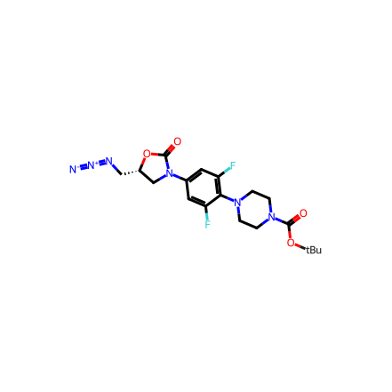 CC(C)(C)OC(=O)N1CCN(c2c(F)cc(N3C[C@H](CN=[N+]=[N-])OC3=O)cc2F)CC1